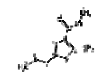 COC(=O)c1cc(CSC)sc1N